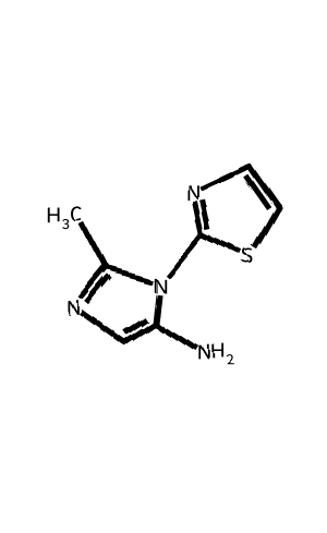 Cc1ncc(N)n1-c1nccs1